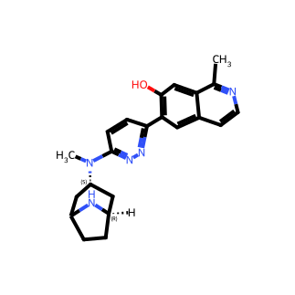 Cc1nccc2cc(-c3ccc(N(C)[C@H]4CC5CC[C@H](C4)N5)nn3)c(O)cc12